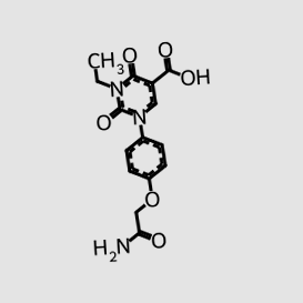 CCn1c(=O)c(C(=O)O)cn(-c2ccc(OCC(N)=O)cc2)c1=O